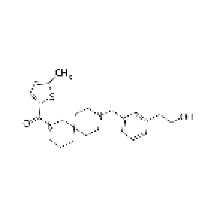 Cc1ccc(C(=O)N2CCCC3(CCN(Cc4cccc(CCO)c4)CC3)C2)s1